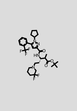 CC(C(=O)OC(C)(C)C)[C@H](CCN1CCCC(F)(F)C1)NC(=O)c1cc(-c2ccccc2C(F)(F)F)n(C2CCCC2)n1